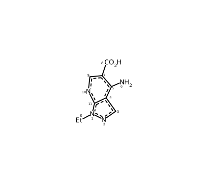 CCn1ncc2c(N)c(C(=O)O)cnc21